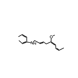 C/C=C\C=C(/C/C=C/CNC(/C=C\C)=C/C)OC